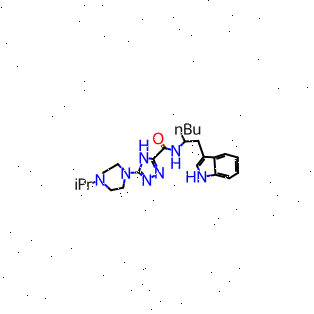 CCCCC(Cc1c[nH]c2ccccc12)NC(=O)c1nnc(N2CCN(C(C)C)CC2)[nH]1